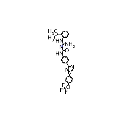 CC(C)c1ccccc1N/C(N)=N/C(=O)Nc1ccc(-c2ncn(-c3ccc(OC(F)(F)F)cc3)n2)cc1